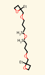 CCC1(COCCC[SiH2]O[SiH2]CCCOCC2(CC)CCO2)CCO1